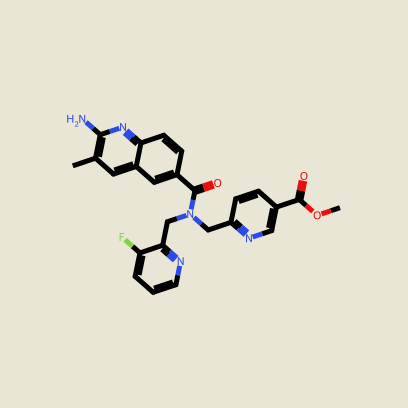 COC(=O)c1ccc(CN(Cc2ncccc2F)C(=O)c2ccc3nc(N)c(C)cc3c2)nc1